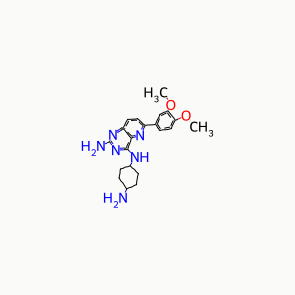 COc1ccc(-c2ccc3nc(N)nc(NC4CCC(N)CC4)c3n2)cc1OC